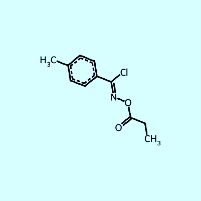 CCC(=O)ON=C(Cl)c1ccc(C)cc1